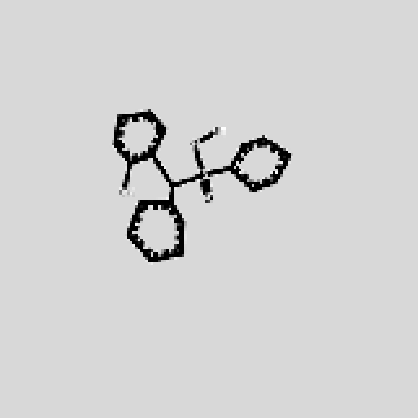 CCOP(=O)(c1ccccc1)[C@@H](c1ccccc1)c1ccccc1O